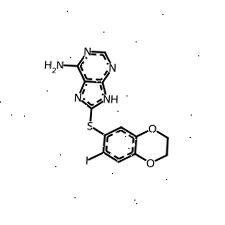 Nc1ncnc2[nH]c(Sc3cc4c(cc3I)OCCO4)nc12